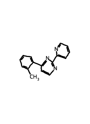 Cc1ccccc1-c1ccnc(-c2ccccn2)n1